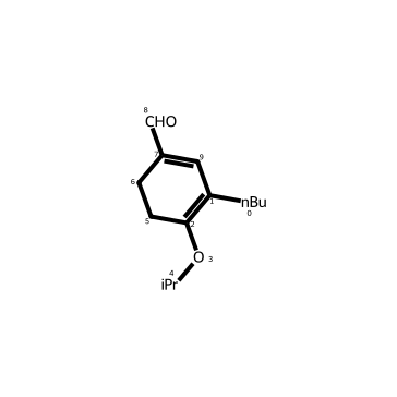 CCCCC1=C(OC(C)C)CCC(C=O)=C1